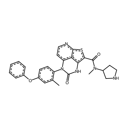 Cc1cc(Oc2ccccc2)ccc1N1C(=O)Nc2c(C(=O)N(C)C3CCNC3)sc3nccc1c23